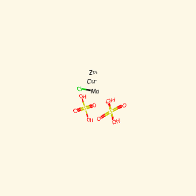 O=S(=O)(O)O.O=S(=O)(O)O.[Cl][Mn].[Cu].[Zn]